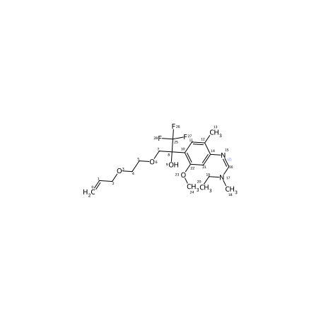 C=CCOCCOCC(O)(c1cc(C)c(/N=C\N(C)CC)cc1OC)C(F)(F)F